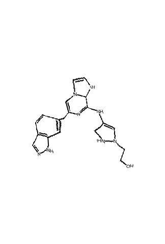 OCCN1C=C(NC2=NC(c3ccc4cn[nH]c4c3)=CN3C=CNC23)CN1